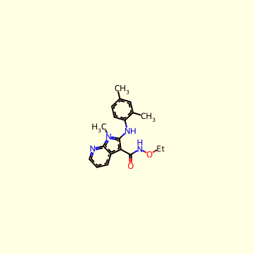 CCONC(=O)c1c(Nc2ccc(C)cc2C)n(C)c2ncccc12